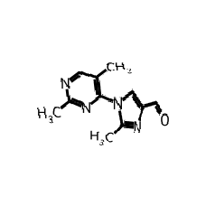 Cc1ncc(C)c(-n2cc(C=O)nc2C)n1